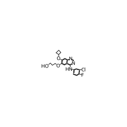 OCCCOc1cc2c(Nc3ccc(F)c(Cl)c3)ncnc2cc1OC1CCC1